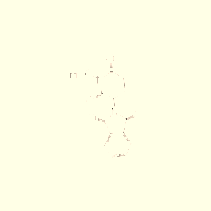 [CH2]N1C(=O)CCC(N2C(=O)c3ccccc3C2=O)C1=O